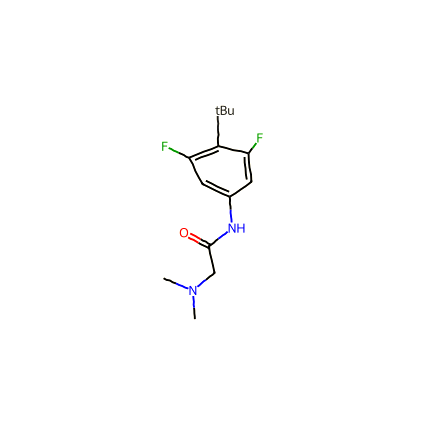 CN(C)CC(=O)Nc1cc(F)c(C(C)(C)C)c(F)c1